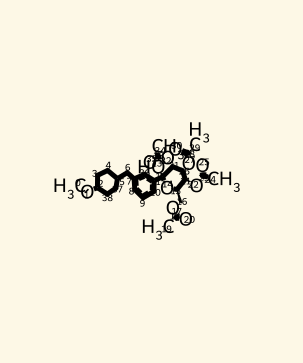 COC1CCC(Cc2cccc([C@]3(O)O[C@H](COC(C)=O)[C@@H](OC(C)=O)[C@H](OC(C)=O)[C@H]3OC(C)=O)c2)CC1